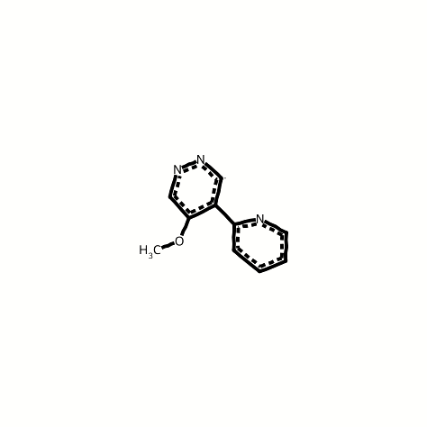 COc1cnn[c]c1-c1ccccn1